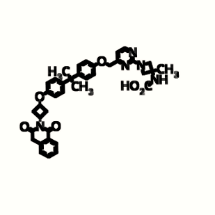 CC1(NC(=O)O)CN(c2nccc(COc3ccc(C(C)(C)c4ccc(O[C@H]5C[C@@H](N6C(=O)Cc7ccccc7C6=O)C5)cc4)cc3)n2)C1